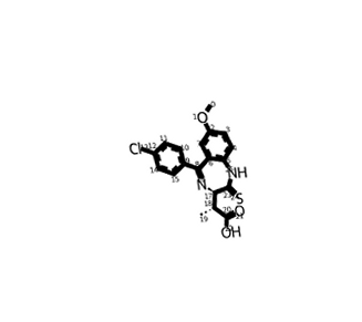 COc1ccc2c(c1)C(c1ccc(Cl)cc1)=N[C@@H]([C@@H](C)C(=O)O)C(=S)N2